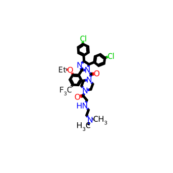 CCOc1cc(C(F)(F)F)ccc1C1=NC(c2ccc(Cl)cc2)C(c2ccc(Cl)cc2)N1C(=O)N1CCN(C(=O)CNCCN(C)C)CC1